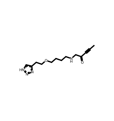 CC#CC(=O)CNCCCCOCCc1c[nH]nn1